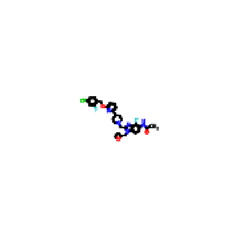 CC(=O)Nc1ccc2c(nc(CN3CCC(c4cccc(OCc5ccc(Cl)cc5F)n4)CC3)n2C[C@@H]2CCO2)c1F